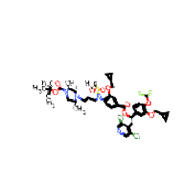 C[C@@H]1CN(CCCN(c2ccc(C(=O)O[C@@H](Cc3c(Cl)cncc3Cl)c3ccc(OC(F)F)c(OCC4CC4)c3)cc2OCC2CC2)S(C)(=O)=O)[C@@H](C)CN1C(=O)OC(C)(C)C